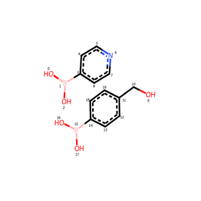 OB(O)c1ccncc1.OCc1ccc(B(O)O)cc1